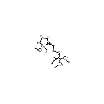 CO[Si](OC)(OC)SCCN1CCC[Si]1(C)OC